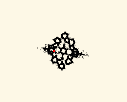 CC(C)(C)c1ccc2c(c1)c1ccc3c4ccccc4sc3c1n2-c1c(C#N)c(-n2c3ccccc3c3ccccc32)c(-n2c3ccc(C(C)(C)C)cc3c3ccc4c5ccccc5sc4c32)c(C#N)c1-n1c2ccccc2c2ccccc21